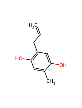 C=CCc1cc(O)c(C)cc1O